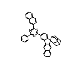 c1ccc(-c2nc(-c3ccc4c(c3)-c3cc5ccccc5cc3C43C4CC5CC(C4)CC3C5)nc(-c3ccc4ccccc4c3)n2)cc1